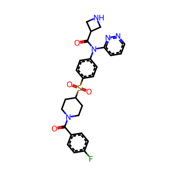 O=C(c1ccc(F)cc1)N1CCC(S(=O)(=O)c2ccc(N(C(=O)C3CNC3)c3cccnn3)cc2)CC1